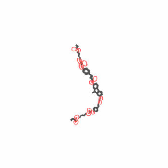 C=CC(=O)OCCCCOC(=O)Oc1ccc(C=COCOc2ccc3c(c2)C(C)c2cc(OC(=O)C=Cc4ccc(OC(=O)OCCCCOC(=O)C=C)cc4)ccc2-3)cc1